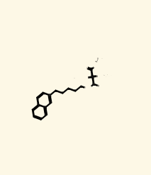 CCCCOC(=O)C(OC)(C(=O)O)C(OCCCCCc1ccc2ccccc2c1)C(=O)OCC